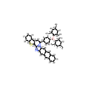 Cc1cc(C)c(B(c2ccc(-c3cc4c5ccccc5sc4c4nc5cc6cc7ccccc7cc6cc5n34)cc2)c2c(C)cc(C)cc2C)c(C)c1